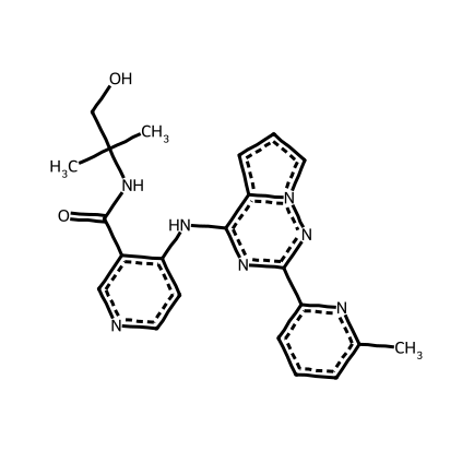 Cc1cccc(-c2nc(Nc3ccncc3C(=O)NC(C)(C)CO)c3cccn3n2)n1